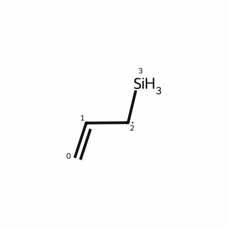 C=C[CH][SiH3]